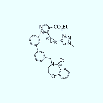 CCOC(=O)c1cnn(-c2cccc(-c3cccc(CN4CCOc5ccccc5[C@@H]4CC)c3)c2)c1[C@@H]1C[C@H]1c1cn(C)nn1